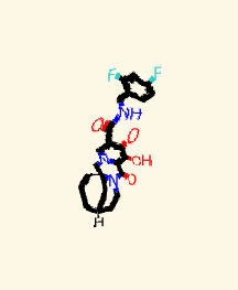 O=C(NCc1ccc(F)cc1F)c1cn2c(c(O)c1=O)C(=O)N1CC[C@H]3CCC[C@@]1(CC3)C2